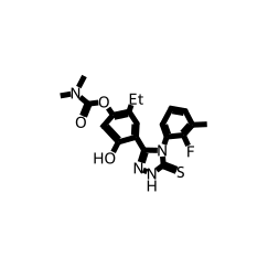 CCc1cc(-c2n[nH]c(=S)n2-c2cccc(C)c2F)c(O)cc1OC(=O)N(C)C